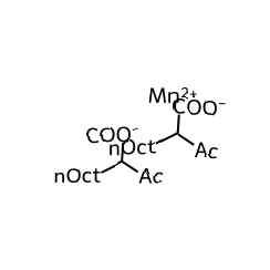 CCCCCCCCC(C(C)=O)C(=O)[O-].CCCCCCCCC(C(C)=O)C(=O)[O-].[Mn+2]